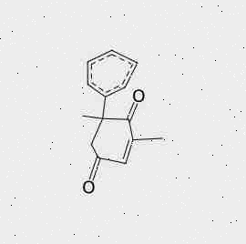 CC1=CC(=O)CC(C)(c2ccccc2)C1=O